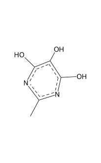 Cc1nc(O)c(O)c(O)n1